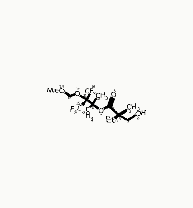 CCC(C)(CO)C(=O)OC(C)(C)C(OCOC)(C(F)(F)F)C(F)(F)F